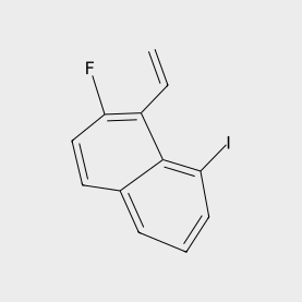 C=Cc1c(F)ccc2cccc(I)c12